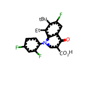 CCc1c(C(C)(C)C)c(F)cc2c(=O)c(C(=O)O)cn(-c3ccc(F)cc3F)c12